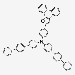 c1ccc(-c2ccc(-c3ccc(N(c4ccc(-c5ccc(-c6ccccc6)cc5)cc4)c4ccc(-c5cc6c7ccccc7c7ccccc7c6o5)cc4)cc3)cc2)cc1